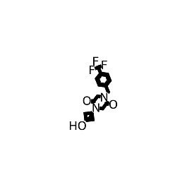 O=C1CN(C23CC(O)(C2)C3)C(=O)CN1Cc1ccc(C(F)(F)F)cc1